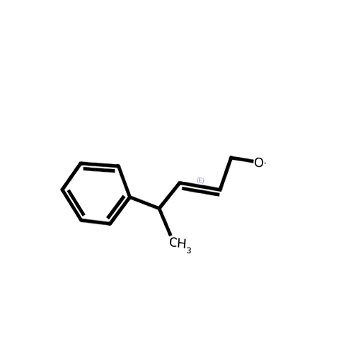 CC(/C=C/C[O])c1ccccc1